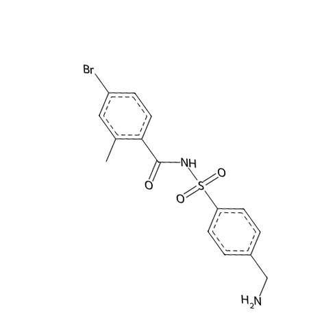 Cc1cc(Br)ccc1C(=O)NS(=O)(=O)c1ccc(CN)cc1